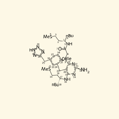 CCCCC(CCSC)NC(=O)CCc1nc(N)nc(NC(CCCC)CCSC)c1Cc1cc(Cc2nn[nH]n2)ccc1OC